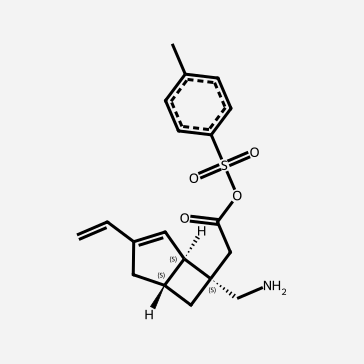 C=CC1=C[C@@H]2[C@@H](C1)C[C@]2(CN)CC(=O)OS(=O)(=O)c1ccc(C)cc1